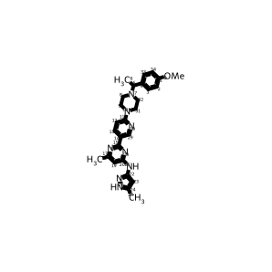 COc1ccc(C(C)N2CCN(c3ccc(-c4nc(C)cc(Nc5cc(C)[nH]n5)n4)cn3)CC2)cc1